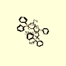 CO[C@H]1C(O[Si](c2ccccc2)(c2ccccc2)C(C)(C)C)[C@@H](CO)O[C@@H](c2ccccc2)C1CC(C)(C)[Si](O)(c1ccccc1)c1ccccc1